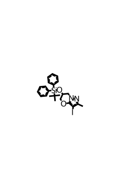 Cc1nn2c(c1I)OCC(O[Si](c1ccccc1)(c1ccccc1)C(C)(C)C)C2